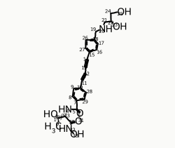 C[C@@H](O)[C@H](NC(=O)c1ccc(C#CC#Cc2ccc(CNCC(O)CO)cc2)cc1)C(=O)NO